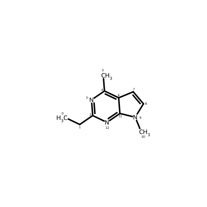 CCc1nc(C)c2ccn(C)c2n1